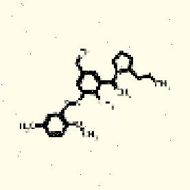 C=C(c1cc(CC)cc(NSc2cc(C)ccc2OC)c1C)N1CCCC1CCC